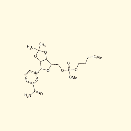 COCCCOP(=O)(OC)OCC1OC([n+]2cccc(C(N)=O)c2)C2OC(C)(C)OC12